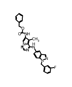 Cc1c(NC(=O)OCc2ccccc2)cn2ncnc(Nc3ccc4c(cnn4Cc4cccc(F)c4)c3)c12